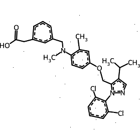 Cc1cc(OCc2c(C(C)C)cnn2-c2c(Cl)cccc2Cl)ccc1N(C)Cc1cccc(CC(=O)O)c1